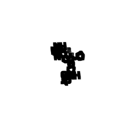 CC(C)(C)OC(=O)N[C@H]1CC[C@H](Oc2ccc3c(c2SCc2ccccc2)CC(C)(C)c2c(N)ncnc2-3)CC1